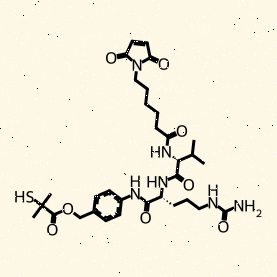 CC(C)[C@@H](NC(=O)CCCCCN1C(=O)C=CC1=O)C(=O)N[C@H](CCCNC(N)=O)C(=O)Nc1ccc(COC(=O)C(C)(C)S)cc1